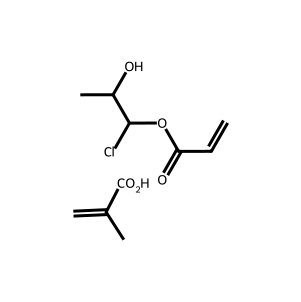 C=C(C)C(=O)O.C=CC(=O)OC(Cl)C(C)O